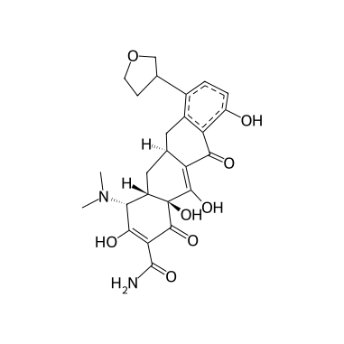 CN(C)[C@H]1C(O)=C(C(N)=O)C(=O)[C@@]2(O)C(O)=C3C(=O)c4c(O)ccc(C5CCOC5)c4C[C@@H]3C[C@@H]12